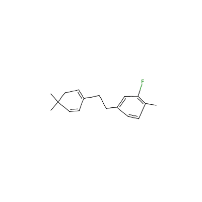 Cc1ccc(CCC2=CCC(C)(C)C=C2)cc1F